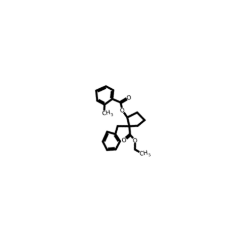 CCOC(=O)C1(Cc2ccccc2)CCCC1OC(=O)c1ccccc1C